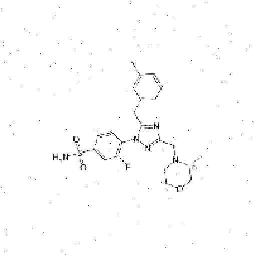 Cc1cccc(Cc2nc(CN3CCOC[C@H]3C)nn2-c2ccc(S(N)(=O)=O)cc2F)c1